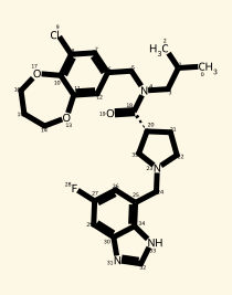 CC(C)CN(Cc1cc(Cl)c2c(c1)OCCCO2)C(=O)[C@@H]1CCN(Cc2cc(F)cc3nc[nH]c23)C1